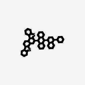 c1ccc(-c2ccc(-c3c4ccccc4c(-c4cc5c(ccc6c7ccccc7sc65)c5c4sc4ccccc45)c4ccccc34)c3ccccc23)cc1